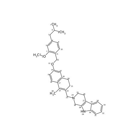 COc1cc(CC(C)C)ccc1COc1ccc2c(c1)CCC(CN1CCc3c([nH]c4ccccc34)C1)=C2C